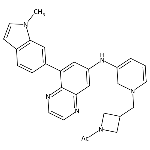 CC(=O)N1CC(CN2C=CC=C(Nc3cc(-c4ccc5ccn(C)c5c4)c4nccnc4c3)C2)C1